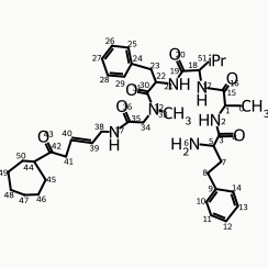 CC(NC(=O)C(N)CCc1ccccc1)C(=O)NC(C(=O)NC(Cc1ccccc1)C(=O)N(C)CC(=O)NC/C=C/CC(=O)C1CCCCCC1)C(C)C